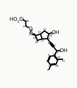 Cc1ccc(C(O)C#CC2C(O)CC3C(=NOCCC(=O)O)CC32)c(C)c1